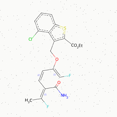 CCOC(=O)c1sc2cccc(Cl)c2c1COC(/C=C\C(C(N)=O)=C(/C)F)=C\F